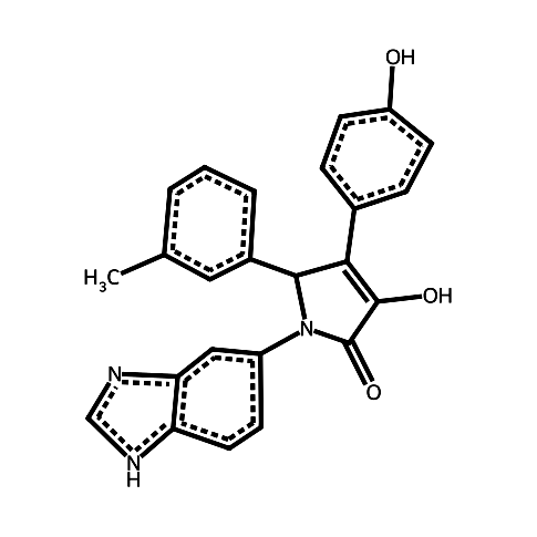 Cc1cccc(C2C(c3ccc(O)cc3)=C(O)C(=O)N2c2ccc3[nH]cnc3c2)c1